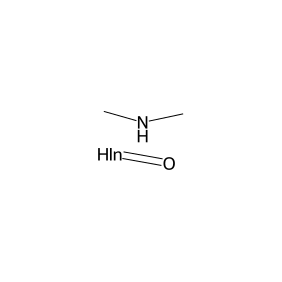 CNC.[O]=[InH]